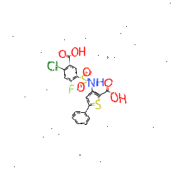 O=C(O)c1cc(S(=O)(=O)Nc2cc(-c3ccccc3)sc2C(=O)O)c(F)cc1Cl